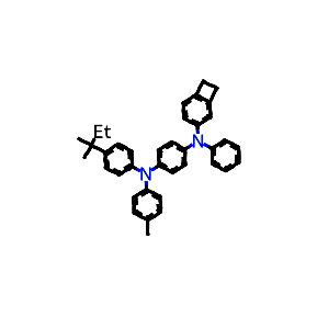 CCC(C)(C)c1ccc(N(c2ccc(C)cc2)c2ccc(N(c3ccccc3)c3ccc4c(c3)CC4)cc2)cc1